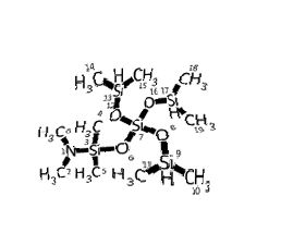 CN(C)[Si](C)(C)O[Si](O[SiH](C)C)(O[SiH](C)C)O[SiH](C)C